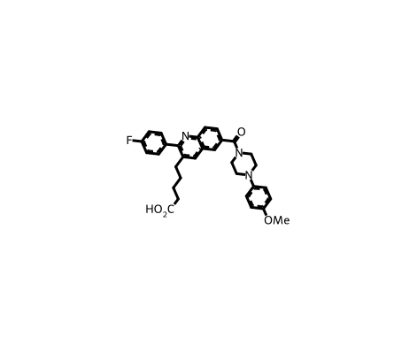 COc1ccc(N2CCN(C(=O)c3ccc4nc(-c5ccc(F)cc5)c(CCCCC(=O)O)cc4c3)CC2)cc1